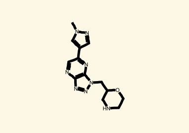 Cn1cc(-c2cnc3nnn(CC4CNCCO4)c3n2)cn1